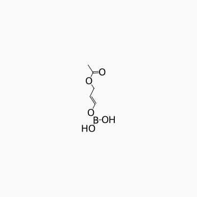 CC(=O)OCC=COB(O)O